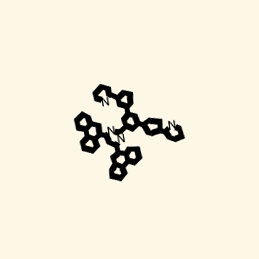 c1ccc(-c2ccc(-c3cc(-c4cccc(-c5ccccn5)c4)cc(-c4nc(-c5cc6ccccc6c6ccccc56)cc(-c5cc6ccccc6c6ccccc56)n4)c3)cc2)nc1